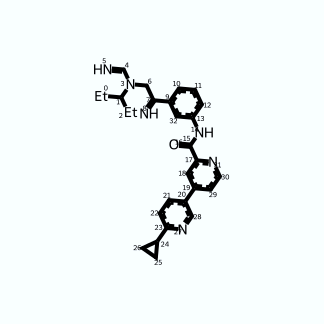 CCC(CC)N(C=N)CC(=N)c1cccc(NC(=O)c2cc(-c3ccc(C4CC4)nc3)ccn2)c1